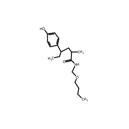 CCCCOCNC(=O)C(C)CC(CC)c1ccc(O)cc1